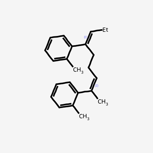 CC/C=C(\CC/C=C(/C)c1ccccc1C)c1ccccc1C